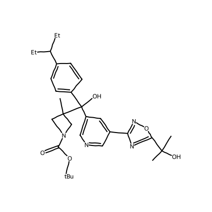 CCC(CC)c1ccc(C(O)(c2cncc(-c3noc(C(C)(C)O)n3)c2)C2(C)CN(C(=O)OC(C)(C)C)C2)cc1